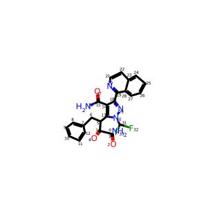 NC(=O)C(=O)C(Cc1ccccc1)c1c(C(N)=O)c(-c2nccc3ccccc23)nn1C(F)F